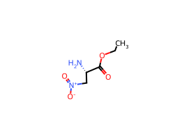 CCOC(=O)[C@@H](N)C[N+](=O)[O-]